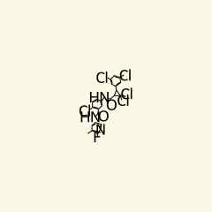 Cc1cc(NC(=O)c2cc(NC(=O)C3C(c4cc(Cl)cc(Cl)c4)C3(Cl)Cl)ccc2Cl)cnc1F